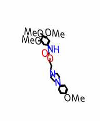 COc1ccc(N2CCN(CCCOC(=O)Nc3cc(OC)c(OC)c(OC)c3)CC2)cc1